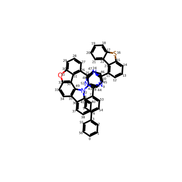 c1ccc(-c2ccc(-c3nc(-c4cccc5sc6ccccc6c45)nc(-c4cccc5oc6ccc7c8ccccc8n(-c8ccccc8)c7c6c45)n3)cc2)cc1